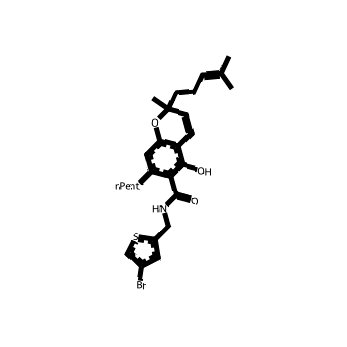 CCCCCc1cc2c(c(O)c1C(=O)NCc1cc(Br)cs1)C=CC(C)(CCC=C(C)C)O2